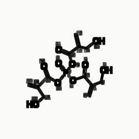 C=C(CO)C(=O)OP(=O)(OC(=O)C(=C)CO)OC(=O)C(=C)CO